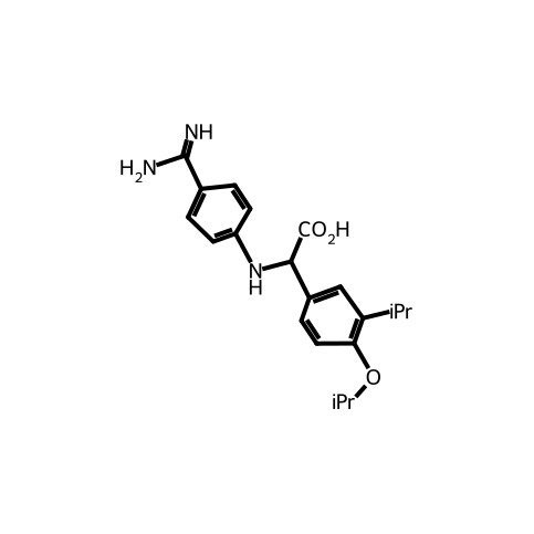 CC(C)Oc1ccc(C(Nc2ccc(C(=N)N)cc2)C(=O)O)cc1C(C)C